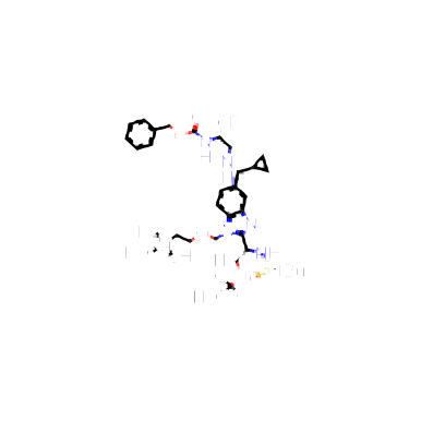 CC(C)(C)[S@@+]([O-])N[C@@H](COC(C)(C)C(F)(F)F)c1nc2cc([C@H](NC[C@H](NC(=O)OCc3ccccc3)C(F)(F)F)C3CC3)ccc2n1COCC[Si](C)(C)C